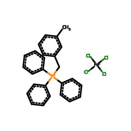 Cc1cccc(C[P+](c2ccccc2)(c2ccccc2)c2ccccc2)c1.[Cl][Fe-]([Cl])([Cl])[Cl]